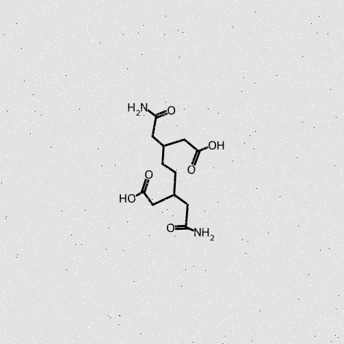 NC(=O)CC(CCC(CC(N)=O)CC(=O)O)CC(=O)O